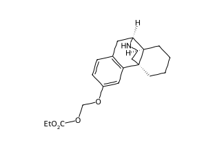 CCOC(=O)OCOc1ccc2c(c1)[C@]13CCCC[C@@H]1[C@H](C2)NCC3